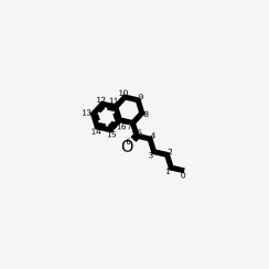 CCCCCC(=O)C1CCCc2ccccc21